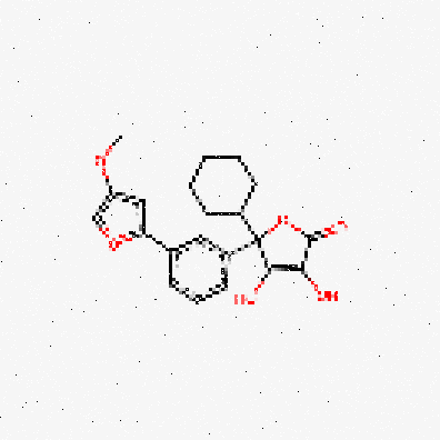 COc1coc(-c2cccc(C3(C4CCCCC4)OC(=O)C(O)=C3O)c2)c1